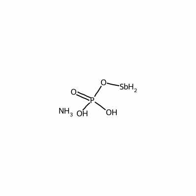 N.O=P(O)(O)[O][SbH2]